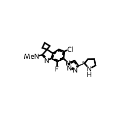 CNC1=Nc2c(cc(Cl)c(-n3cc([C@H]4CCCN4)nn3)c2F)C12CCC2